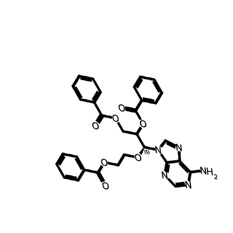 Nc1ncnc2c1ncn2[C@@H](OCCOC(=O)c1ccccc1)C(COC(=O)c1ccccc1)OC(=O)c1ccccc1